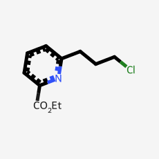 CCOC(=O)c1cccc(CCCCl)n1